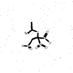 CC(Br)OC(C[N+](=O)[O-])([N+](=O)[O-])[N+](=O)[O-]